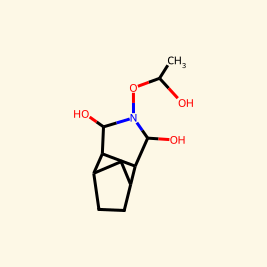 CC(O)ON1C(O)C2C3CCC(C3)C2C1O